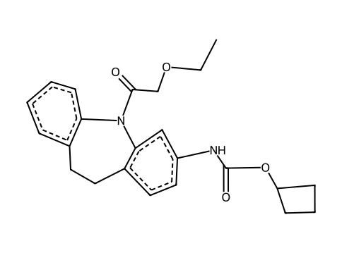 CCOCC(=O)N1c2ccccc2CCc2ccc(NC(=O)OC3CCC3)cc21